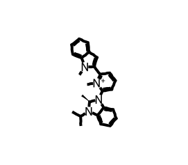 CC(C)N1c2ccccc2N(c2cccc(-c3cc4ccccc4n3C)[n+]2C)[C@@H]1C